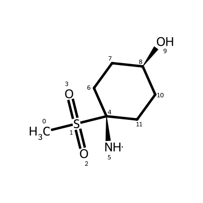 CS(=O)(=O)[C@]1([NH])CC[C@@H](O)CC1